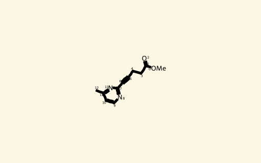 COC(=O)CCC#Cc1nccc(C)n1